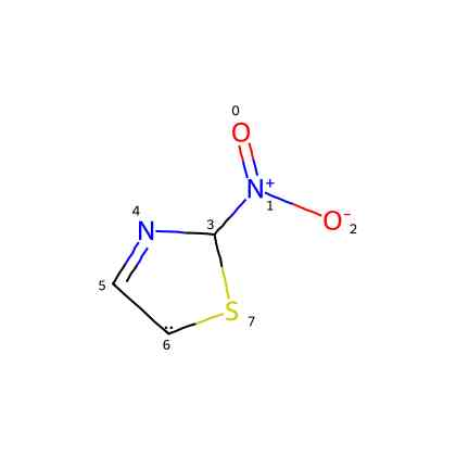 O=[N+]([O-])C1N=C[C]S1